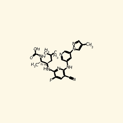 Cc1cnn(-c2cncc(Nc3nc(N[C@H](CC(C)C)[C@H](C)NC(=O)O)c(F)cc3C#N)c2)c1